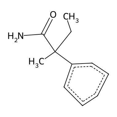 CCC(C)(C(N)=O)c1ccccc1